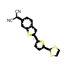 N#CC(C#N)=c1ccc2c/c(=c3/ccc(=C4SC=CS4)s3)sc2c1